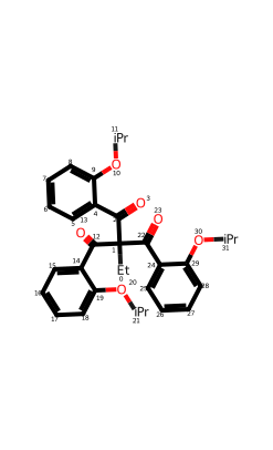 CCC(C(=O)c1ccccc1OC(C)C)(C(=O)c1ccccc1OC(C)C)C(=O)c1ccccc1OC(C)C